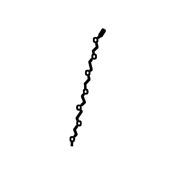 C#COCCOCCOCCOCCOCCOCCOC